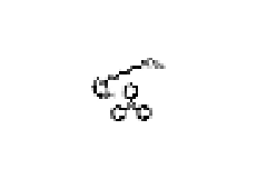 CCCCCCCCCCCCCCCCC1CNCCO1.c1ccc(N(c2ccccc2)c2ccccc2)cc1